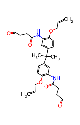 C=CCOc1ccc(C(C)(C)c2ccc(OCC=C)c(NC(=O)CCC=O)c2)cc1NC(=O)CCC=O